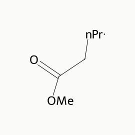 [CH2]C[CH]CC(=O)OC